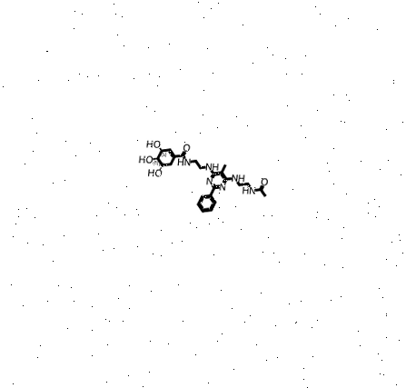 CC(=O)NCCNc1nc(-c2ccccc2)nc(NCCNC(=O)C2=C[C@H](O)[C@H](O)[C@@H](O)C2)c1C